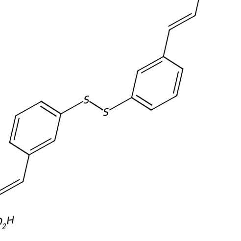 O=C(O)C=Cc1cccc(SSc2cccc(C=CC(=O)O)c2)c1